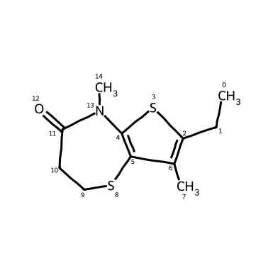 CCc1sc2c(c1C)SCCC(=O)N2C